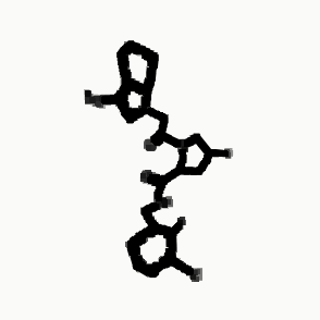 CC(=O)c1cn(CC(=O)N2CC(F)CC2C(=O)NCc2cccc(Cl)c2F)c2cc[c]cc12